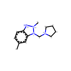 Cc1ccc2c(c1)N(CN1CCCC1)N(C)N2